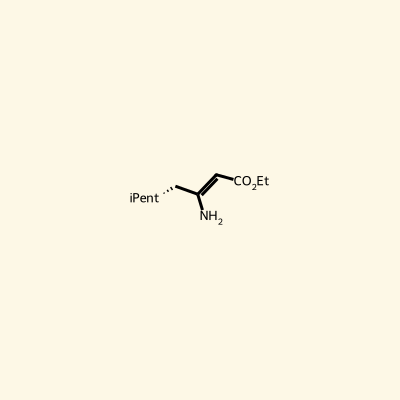 CCC[C@@H](C)CC(N)=CC(=O)OCC